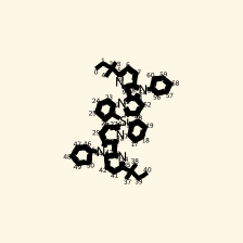 CCC(C)(C)c1ccc2c(n1)c1nc([Si](c3ccccc3)(c3ccccc3)c3ccc4c(n3)c3nc(C(C)(C)CC)ccc3n4-c3ccccc3)ccc1n2-c1ccccc1